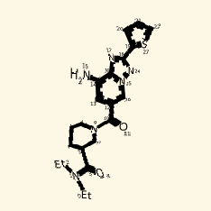 CCN(CC)C(=O)C1CCCN(C(=O)c2cc(N)c3nc(-c4cccs4)nn3c2)C1